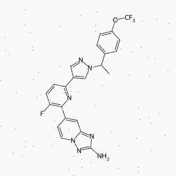 CC(c1ccc(OC(F)(F)F)cc1)n1cc(-c2ccc(F)c(-c3ccn4nc(N)nc4c3)n2)cn1